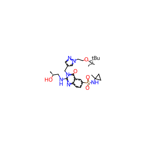 C[C@H](O)CNc1nc2ccc(S(=O)(=O)NC3(C)CC3)cc2c(=O)n1Cc1cnn(CCO[Si](C)(C)C(C)(C)C)c1